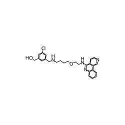 OCc1cc(Cl)cc(CNCCCCOCCNc2nc3ccccc3c3cnccc23)c1